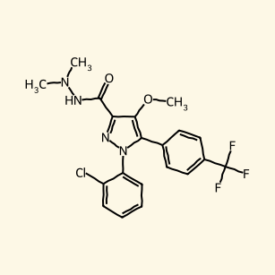 COc1c(C(=O)NN(C)C)nn(-c2ccccc2Cl)c1-c1ccc(C(F)(F)F)cc1